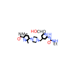 CCNC(=O)Nc1cc(CN2CCN(c3ccc(C(=O)NC)nc3C)CC2)ccn1.O=CO